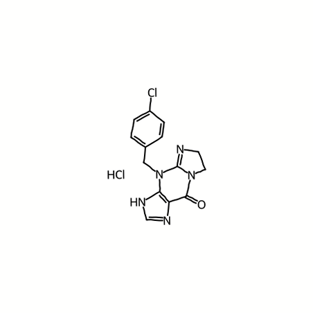 Cl.O=C1c2nc[nH]c2N(Cc2ccc(Cl)cc2)C2=NCCN12